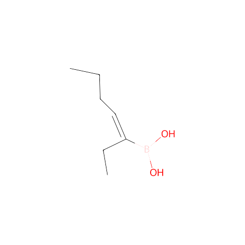 CCC/C=C(\CC)B(O)O